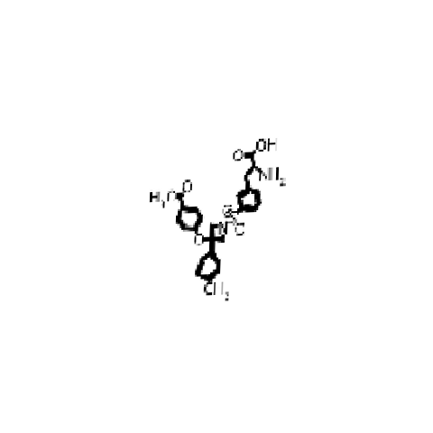 CC(=O)c1ccc(OC2(c3ccc(C)cc3)CN(S(=O)(=O)c3cccc(C[C@H](N)C(=O)O)c3)C2)cc1